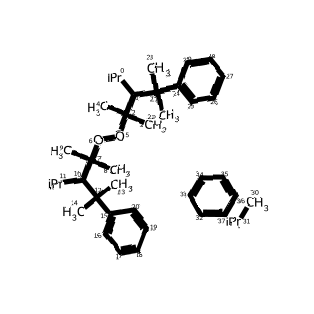 CC(C)C(C(C)(C)OOC(C)(C)C(C(C)C)C(C)(C)c1ccccc1)C(C)(C)c1ccccc1.C[C](C)C.c1ccccc1